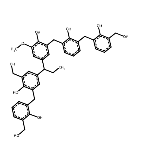 CCC(c1cc(CO)c(O)c(Cc2cccc(CO)c2O)c1)c1cc(Cc2cccc(Cc3cccc(CO)c3O)c2O)c(O)c(OC)c1